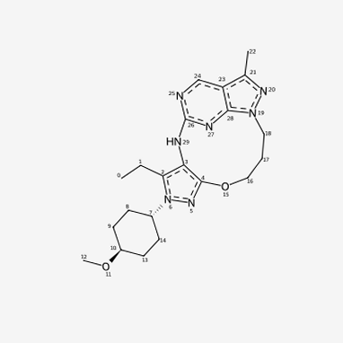 CCc1c2c(nn1[C@H]1CC[C@H](OC)CC1)OCCCn1nc(C)c3cnc(nc31)N2